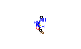 O=C(Nc1nnc(NCCNc2ccccc2)s1)c1ccc(Br)cc1